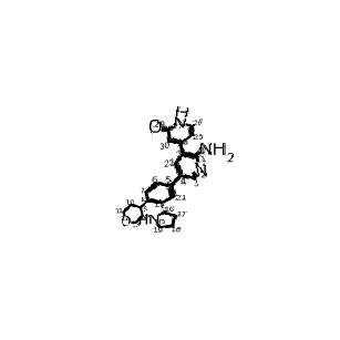 Nc1ncc(-c2ccc(C3CCOCC3)c([C@@H]3CCCN3)c2)cc1-c1cc[nH]c(=O)c1